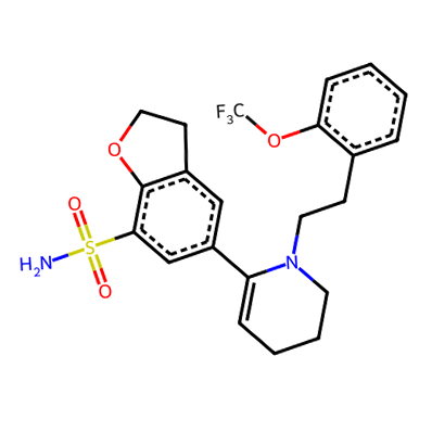 NS(=O)(=O)c1cc(C2=CCCCN2CCc2ccccc2OC(F)(F)F)cc2c1OCC2